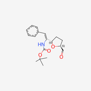 CC(C)(C)OC(=O)NC(=Cc1ccccc1)[C@@H]1CC[C@@H](C=O)O1